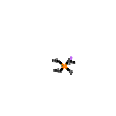 CCCCCC[P+](CC)(CCCCCC)CCCCCC.[I-]